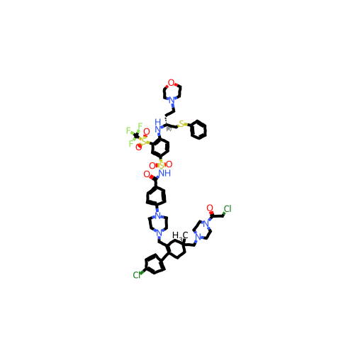 CC1(CN2CCN(C(=O)CCl)CC2)CCC(c2ccc(Cl)cc2)=C(CN2CCN(c3ccc(C(=O)NS(=O)(=O)c4ccc(N[C@H](CCN5CCOCC5)CSc5ccccc5)c(S(=O)(=O)C(F)(F)F)c4)cc3)CC2)C1